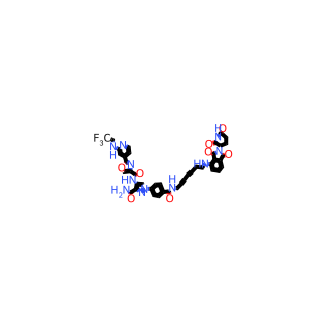 NC(=O)c1nn(-c2ccc(C(=O)NCC#CC#CCCNc3cccc4c3C(=O)N(C3CCC(=O)NC3=O)C4=O)cc2)cc1NC(=O)c1coc(-c2ccnc(NCC(F)(F)F)c2)n1